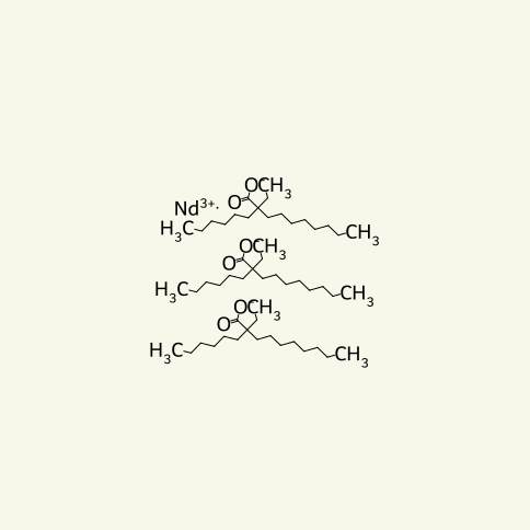 CCCCCCCCC(CC)(CCCCCC)C(=O)[O-].CCCCCCCCC(CC)(CCCCCC)C(=O)[O-].CCCCCCCCC(CC)(CCCCCC)C(=O)[O-].[Nd+3]